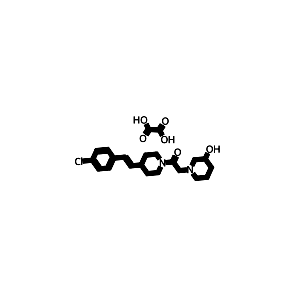 O=C(CN1CCCC(O)C1)N1CCC(C=Cc2ccc(Cl)cc2)CC1.O=C(O)C(=O)O